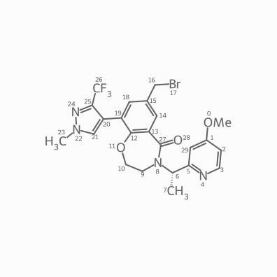 COc1ccnc([C@H](C)N2CCOc3c(cc(CBr)cc3-c3cn(C)nc3C(F)(F)F)C2=O)c1